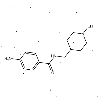 CN1CCC(CNC(=O)c2ccc(N)cc2)CC1